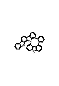 c1ccc2c(c1)sc1c2ccc2c3cccc4c5ccccc5c5cccc6sc7cccc(c7c65)n(c43)c21